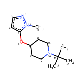 Cn1nccc1OC1CCN(C(C)(C)C)CC1